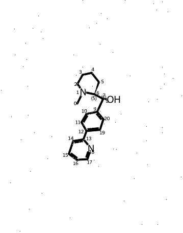 CN1CCCC[C@H]1[C@@H](O)c1ccc(-c2ccccn2)cc1